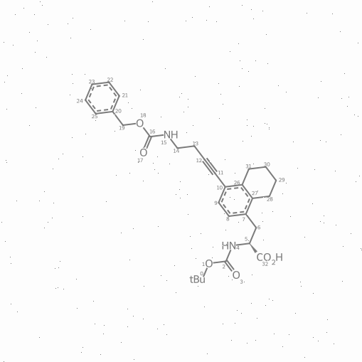 CC(C)(C)OC(=O)N[C@@H](Cc1ccc(C#CCCNC(=O)OCc2ccccc2)c2c1CCCC2)C(=O)O